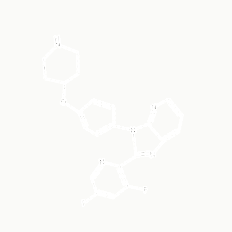 Fc1cnc(-c2nc3cccnc3n2-c2ccc(OC3CCNCC3)cc2)c(F)c1